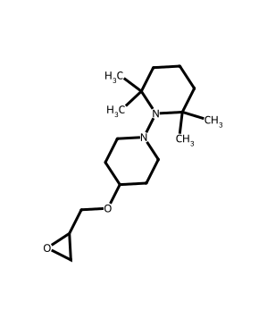 CC1(C)CCCC(C)(C)N1N1CCC(OCC2CO2)CC1